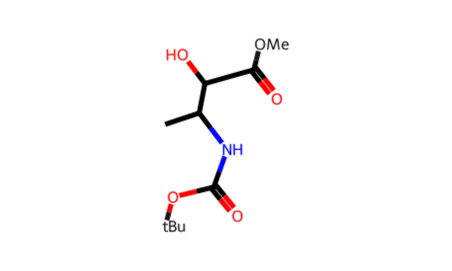 COC(=O)C(O)C(C)NC(=O)OC(C)(C)C